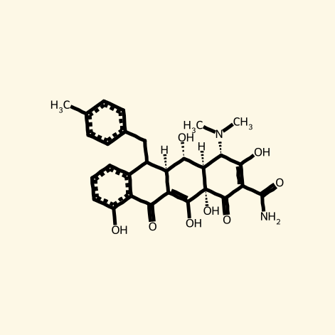 Cc1ccc(CC2c3cccc(O)c3C(=O)C3=C(O)[C@]4(O)C(=O)C(C(N)=O)=C(O)[C@@H](N(C)C)[C@@H]4[C@@H](O)[C@@H]32)cc1